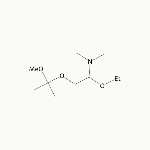 CCOC(COC(C)(C)OC)N(C)C